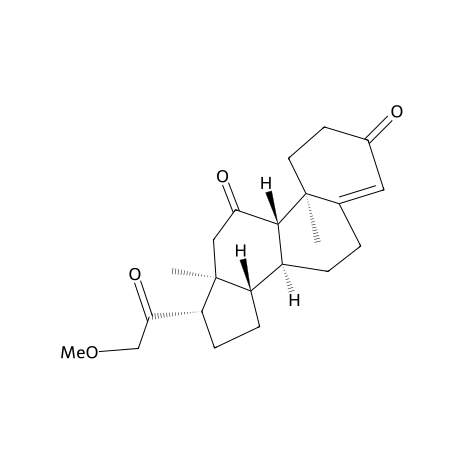 COCC(=O)[C@H]1CC[C@H]2[C@@H]3CCC4=CC(=O)CC[C@]4(C)[C@H]3C(=O)C[C@]12C